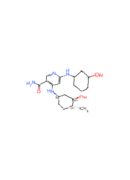 C[C@@H]1CC[C@@H](Nc2cc(NC3CCCC(O)C3)ncc2C(N)=O)C[C@H]1O